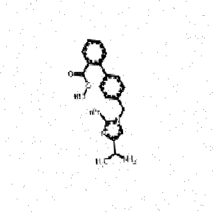 CCCc1nc(C(C)N)cn1Cc1ccc(-c2ccccc2C(=O)OC(C)(C)C)cc1